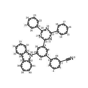 N#Cc1cccc(-c2cc(-c3nc(-c4ccccc4)nc(-c4ccccc4)n3)cc(-n3c4ccccc4c4ccccc43)c2)c1